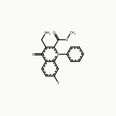 COC(=O)c1c(CN)c(=O)c2ccc(F)cc2n1-c1ccccc1